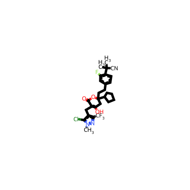 Cn1nc(C(F)(F)F)c(CC2=C(O)CC(CCc3ccc(C(C)(C)C#N)c(F)c3)(C3CCCC3)OC2=O)c1Cl